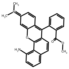 COC(=O)c1ccccc1-c1c2ccc(=[N+](C)C)cc-2oc2c1ccc1cccc(N)c12